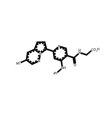 CC(C)Nc1cc(-c2ccc3cc(C#N)cnn23)ncc1C(=O)NCC(=O)O